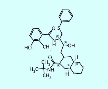 Cc1c(O)cccc1C(=O)N[C@@H](CSc1ccccc1)[C@H](O)CC1C[C@H]2CCCC[C@H]2C[C@H]1C(=O)NC(C)(C)C